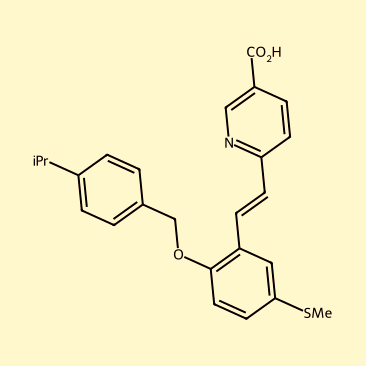 CSc1ccc(OCc2ccc(C(C)C)cc2)c(C=Cc2ccc(C(=O)O)cn2)c1